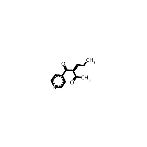 CC/C=C(\C(C)=O)C(=O)c1ccncc1